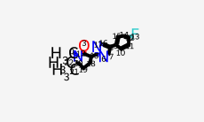 CN1C(=O)C(c2ncc(-c3ccc(F)cc3)cn2)CCC1(C)C